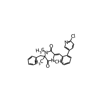 CN1C(=O)C(C)(Cc2ccccc2)N(C)C(=O)C1=Cc1ccccc1-c1ccc(Cl)nc1